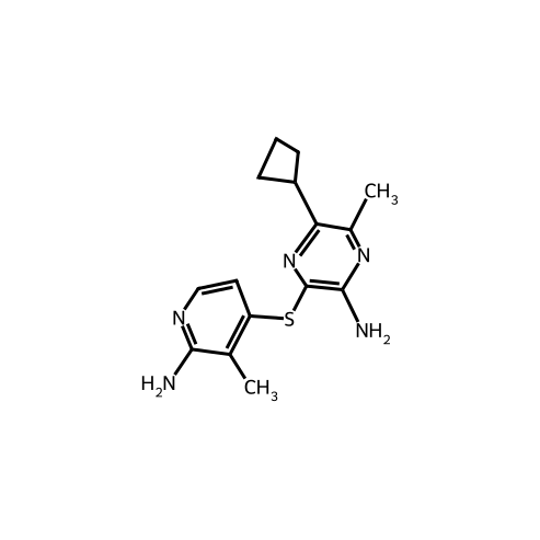 Cc1nc(N)c(Sc2ccnc(N)c2C)nc1C1CCC1